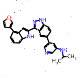 CC(C)Nc1cncc(-c2ccc3[nH]nc(-c4cc5c(-c6ccoc6)cccc5[nH]4)c3c2)c1